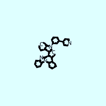 c1cc(-c2ccncc2)cc(-n2c3ccccc3c3c4c(ccc32)c2ccccc2n2c3ccccc3nc42)c1